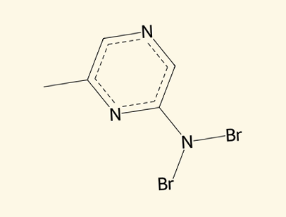 Cc1cncc(N(Br)Br)n1